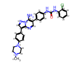 CN1CCN(c2ccc(-c3cnn4c(N)c(-c5ccc(NC(=O)Nc6ccccc6Cl)cc5)cnc34)cc2)CC1